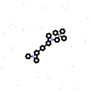 c1ccc(-n2c3ccccc3c3cc(-c4ccc(-c5ccc6c(c5)c5ccccc5n6-c5cccc([Si](c6ccccc6)(c6ccccc6)c6ccccc6)c5)cc4)ccc32)cc1